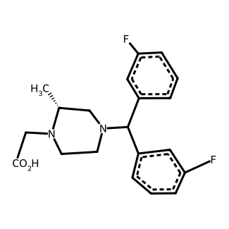 C[C@@H]1CN(C(c2cccc(F)c2)c2cccc(F)c2)CCN1CC(=O)O